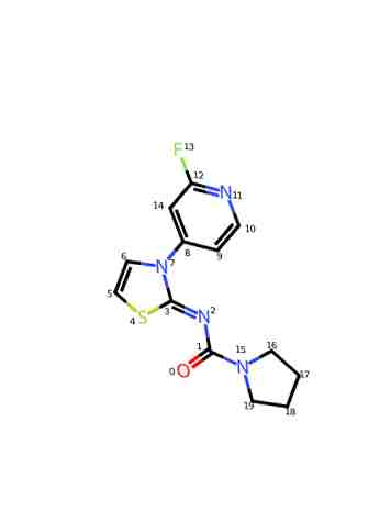 O=C(N=c1sccn1-c1ccnc(F)c1)N1CCCC1